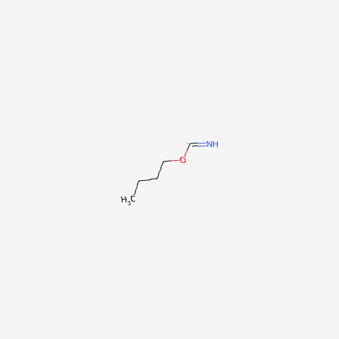 CCCCO[C]=N